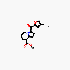 Cc1coc(C(=O)c2ccc3n2CCCC3C(=O)OC(C)C)c1